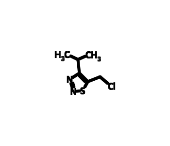 CC(C)c1nnsc1CCl